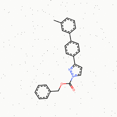 Cc1cccc(-c2ccc(-c3ccn(C(=O)OCc4ccccc4)n3)cc2)c1